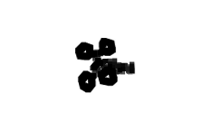 CC(CP(c1ccccc1)c1ccccc1)P(c1ccccc1)c1ccccc1.Cl.[Pd]